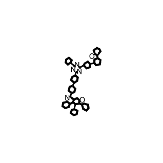 c1ccc(-c2nc(-c3ccc(-c4ccc(-c5nc6ccccc6c6c(-c7ccccc7)c7c(cc56)oc5ccccc57)cc4)cc3)nc(-c3ccc(-c4cccc5c4oc4ccccc45)cc3)n2)cc1